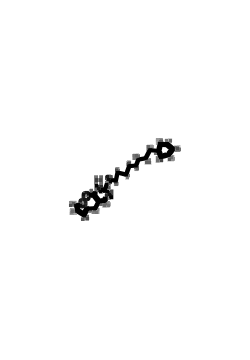 O=c1[nH]c(SCCCCCCCCc2ccccc2)ncc1Cc1ccco1